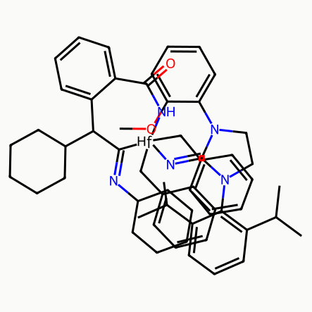 COc1ccccc1N1CCN(c2c(C(C)C)cccc2C(C)C)C1=[N][Hf]1([CH2]c2ccccc2)([CH2]c2ccccc2)[NH]C(=O)c2ccccc2C(C2CCCCC2)[C]1=NC1CCCCC1